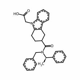 C[C@H](c1ccccc1)N(Cc1ccccc1)C(=O)C1CCc2c(c3ccccc3n2CC(=O)O)C1